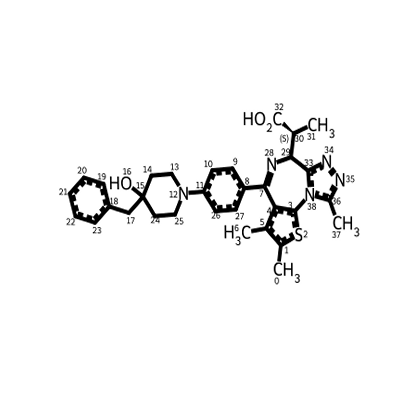 Cc1sc2c(c1C)C(c1ccc(N3CCC(O)(Cc4ccccc4)CC3)cc1)=NC([C@H](C)C(=O)O)c1nnc(C)n1-2